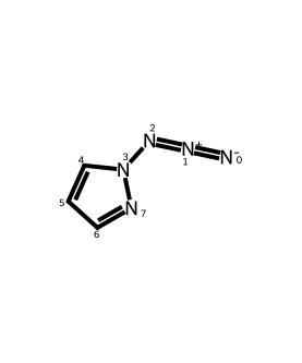 [N-]=[N+]=Nn1cccn1